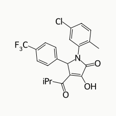 Cc1ccc(Cl)cc1N1C(=O)C(O)=C(C(=O)C(C)C)C1c1ccc(C(F)(F)F)cc1